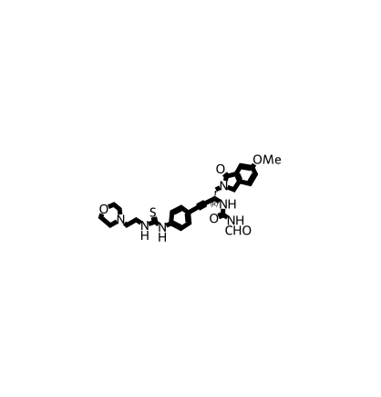 COc1ccc2c(c1)C(=O)N(C[C@@H](C#Cc1ccc(NC(=S)NCCN3CCOCC3)cc1)NC(=O)NC=O)C2